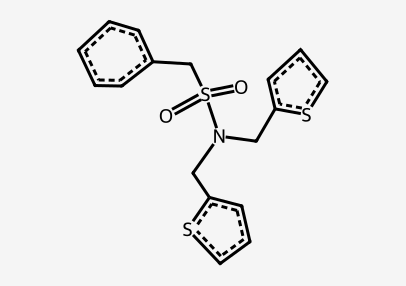 O=S(=O)(Cc1ccccc1)N(Cc1cccs1)Cc1cccs1